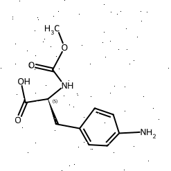 COC(=O)N[C@@H](Cc1ccc(N)cc1)C(=O)O